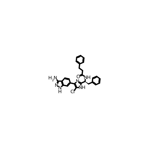 Nc1n[nH]c2cc(-c3nc([C@H](Cc4ccccc4)NC(=O)CCc4ccccc4)[nH]c3Cl)ccc12